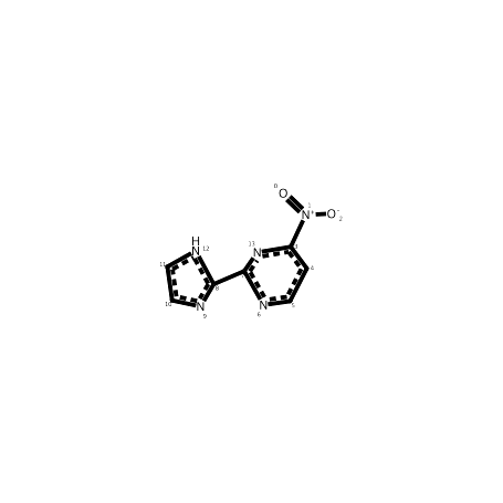 O=[N+]([O-])c1ccnc(-c2ncc[nH]2)n1